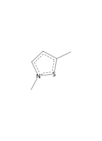 Cc1cc[n+](C)s1